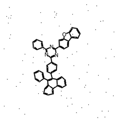 c1ccc(-c2nc(-c3ccc(-c4c(-c5ccccc5)c5ccccc5c5ccccc45)cc3)nc(-c3ccc4c(c3)oc3ccccc34)n2)cc1